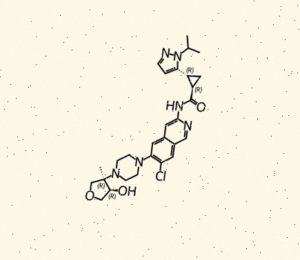 CC(C)n1nccc1[C@@H]1C[C@H]1C(=O)Nc1cc2cc(N3CCN([C@]4(C)COC[C@@H]4O)CC3)c(Cl)cc2cn1